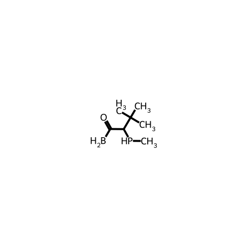 BC(=O)C(PC)C(C)(C)C